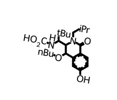 CCCCOC1c2cc(O)ccc2C(=O)N(CC(C)C)C1C(NC(=O)O)C(C)(C)C